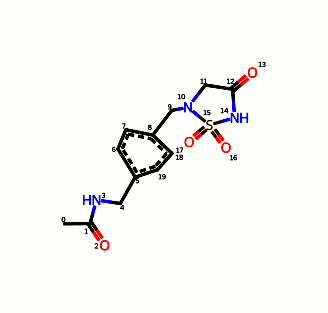 CC(=O)NCc1ccc(CN2CC(=O)NS2(=O)=O)cc1